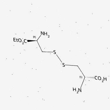 CCOC(=O)[C@@H](N)CSSC[C@@H](N)C(=O)O